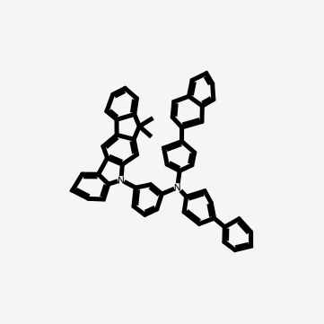 CC1(C)c2ccccc2-c2cc3c4ccccc4n(-c4cccc(N(c5ccc(-c6ccccc6)cc5)c5ccc(-c6ccc7ccccc7c6)cc5)c4)c3cc21